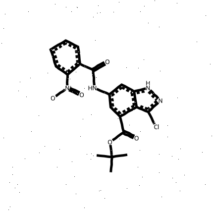 CC(C)(C)OC(=O)c1cc(NC(=O)c2ccccc2[N+](=O)[O-])cc2[nH]nc(Cl)c12